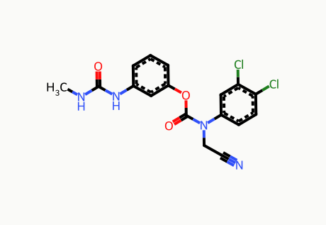 CNC(=O)Nc1cccc(OC(=O)N(CC#N)c2ccc(Cl)c(Cl)c2)c1